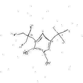 CC(C)(C)c1cc(O)c(O)c(C(F)(F)F)c1